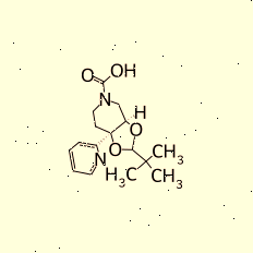 CC(C)(C)C1O[C@@H]2CN(C(=O)O)CC[C@]2(c2ccccn2)O1